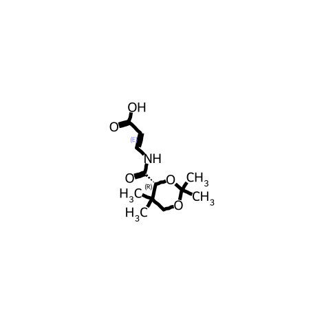 CC1(C)OCC(C)(C)[C@H](C(=O)N/C=C/C(=O)O)O1